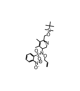 C=CCON(C1CN=C(CO[Si](C)(C)C(C)(C)C)C(C)=C1C)S(=O)(=O)c1ccccc1[N+](=O)[O-]